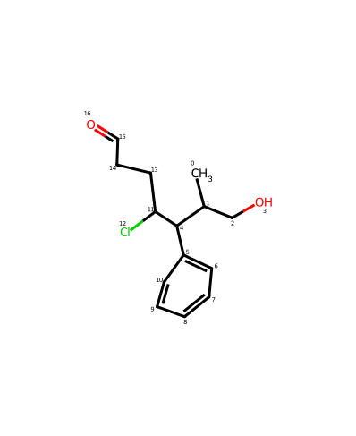 CC(CO)C(c1ccccc1)C(Cl)CCC=O